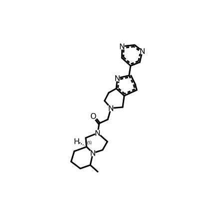 CC1CCC[C@H]2CN(C(=O)CN3CCc4nc(-c5cncnc5)ccc4C3)CCN12